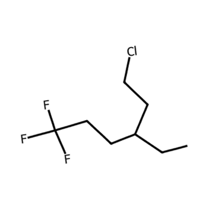 CCC(CCCl)CCC(F)(F)F